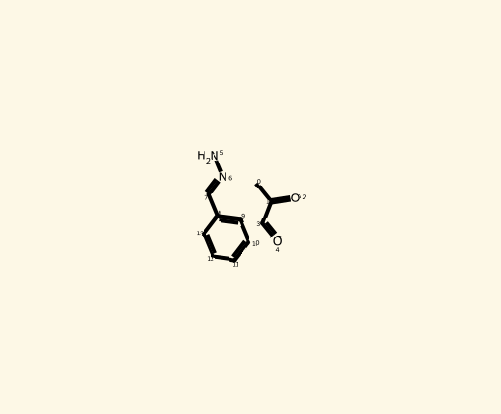 CC(=O)C=O.NN=Cc1ccccc1